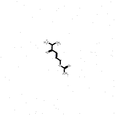 CC(=O)OC/C=C/C(=O)C(C)C